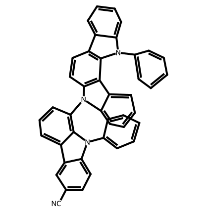 N#Cc1ccc2c(c1)c1cccc(-n3c4ccccc4c4c3ccc3c5ccccc5n(-c5ccccc5)c34)c1n2-c1ccccc1